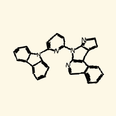 C1=c2c(n(-c3cccc(-n4c5ccccc5c5ccccc54)n3)c3ncc4ccccc4c23)=NC1